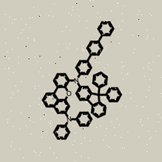 c1ccc(-c2ccc(-c3ccc(N(c4ccc5c(c4)C(c4ccccc4)(c4ccccc4)c4ccccc4-5)c4cccc5c4Oc4cc(N(c6ccccc6)c6ccccc6)cc6cccc-5c46)cc3)cc2)cc1